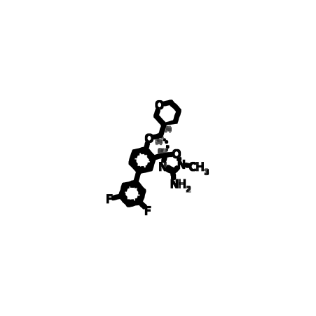 CN1O[C@@]2(C[C@@H]([C@@H]3CCCOC3)Oc3ccc(-c4cc(F)cc(F)c4)cc32)N=C1N